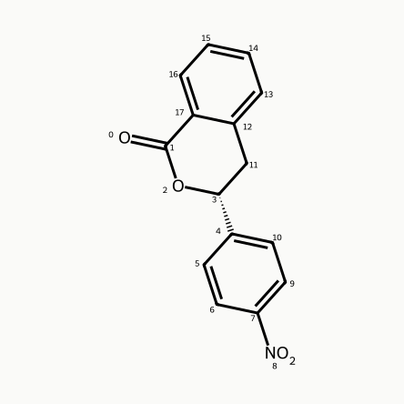 O=C1O[C@@H](c2ccc([N+](=O)[O-])cc2)Cc2ccccc21